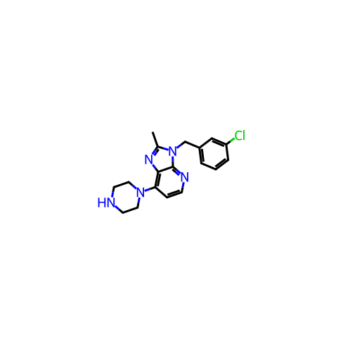 Cc1nc2c(N3CCNCC3)ccnc2n1Cc1cccc(Cl)c1